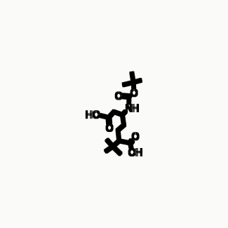 CC(C)(C)OC(=O)NC(CCC(C(=O)O)C(C)(C)C)CC(=O)O